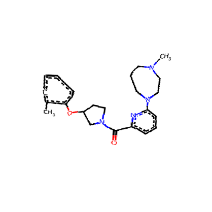 Cc1ccccc1OC1CCN(C(=O)c2cccc(N3CCCN(C)CC3)n2)C1